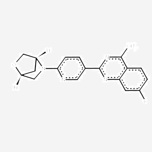 Cc1nc(-c2ccc(N3C[C@H]4C[C@@H]3CO4)nc2)nc2cc(F)ccc12